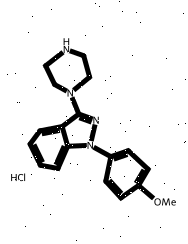 COc1ccc(-n2nc(N3CCNCC3)c3ccccc32)cc1.Cl